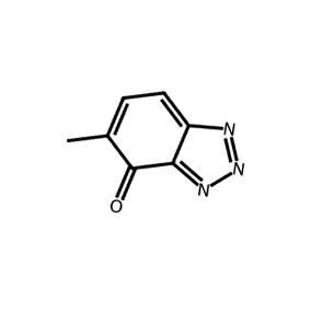 CC1=CC=C2N=NN=C2C1=O